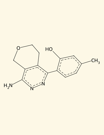 Cc1ccc(-c2nnc(N)c3c2CCOC3)c(O)c1